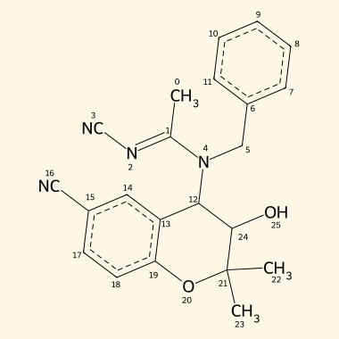 CC(=NC#N)N(Cc1ccccc1)C1c2cc(C#N)ccc2OC(C)(C)C1O